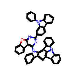 c1ccc(-n2c3ccccc3c3ccc(-c4nc(-n5c6ccccc6c6cc7c8ccccc8n8c9ccccc9c(c65)c78)c5c(n4)oc4ccccc45)cc32)cc1